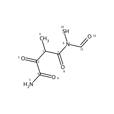 CC(C(=O)C(N)=O)C(=O)N(S)C=O